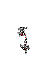 C#Cc1c(F)ccc2cc(O)cc(-c3ncc4c(N5CC6CCC(C5)N6C(=O)OC(C)(C)C)nc(OCCN5CCC(C6CCN(c7cc(C(C(=O)N8CCCC8C(=O)NC(C)c8ccc(-c9scnc9C)cc8)C(C)C)on7)CC6)CC5)nc4c3F)c12